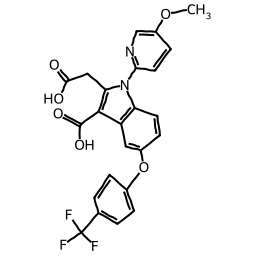 COc1ccc(-n2c(CC(=O)O)c(C(=O)O)c3cc(Oc4ccc(C(F)(F)F)cc4)ccc32)nc1